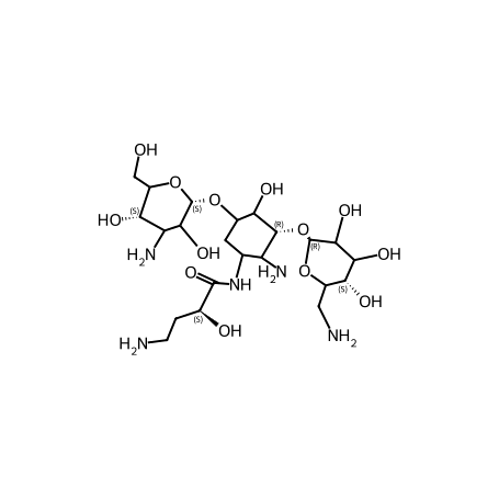 NCC[C@H](O)C(=O)NC1CC(O[C@H]2OC(CO)[C@@H](O)C(N)C2O)C(O)[C@H](O[C@H]2OC(CN)[C@@H](O)C(O)C2O)C1N